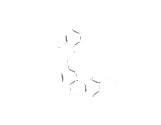 N#Cc1ccc(COc2ccccc2CC(=O)O)cc1-c1cccc(CN)c1